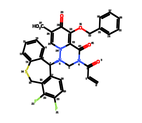 C=CC(=O)N1CN([C@@H]2c3ccccc3SCc3c2ccc(F)c3F)n2cc(C(=O)O)c(=O)c(OCc3ccccc3)c2C1=O